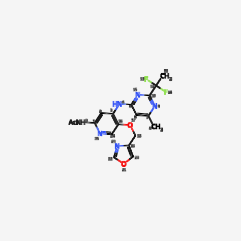 CC(=O)Nc1cc(Nc2cc(C)nc(C(C)(F)F)n2)c(OCc2cocn2)cn1